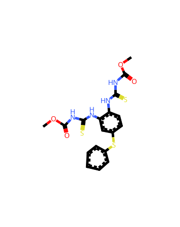 COC(=O)NC(=S)Nc1ccc(Sc2ccccc2)cc1NC(=S)NC(=O)OC